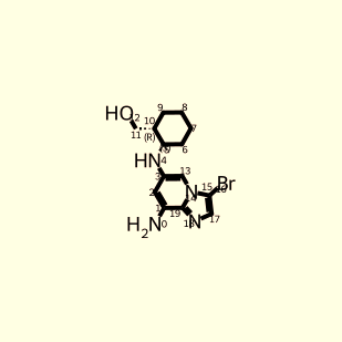 Nc1cc(N[C@H]2CCCC[C@H]2CO)cn2c(Br)cnc12